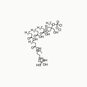 CCC(=O)O.CCC(=O)O.CCC(=O)O.CCC(=O)O.CCC(CO)(CO)CO.NCCN.O=P(Cl)(Cl)OCl.O=P(O)(O)O